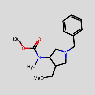 COCC1CN(Cc2ccccc2)CC1N(C)C(=O)OC(C)(C)C